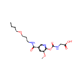 CCCCOCCCNC(=O)c1cnc(OC(=O)NCC(=O)O)c(OC)c1